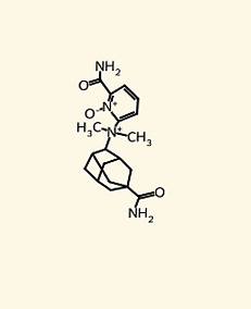 C[N+](C)(c1cccc(C(N)=O)[n+]1[O-])C1C2CC3CC1CC(C(N)=O)(C3)C2